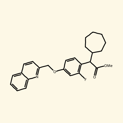 COC(=O)C(c1ccc(OCc2ccc3ccccc3n2)cc1F)C1CCCCCC1